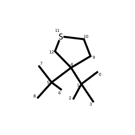 CC(C)(C)C1(C(C)(C)C)CCSC1